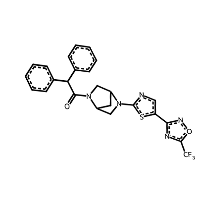 O=C(C(c1ccccc1)c1ccccc1)N1CC2CC1CN2c1ncc(-c2noc(C(F)(F)F)n2)s1